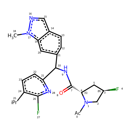 CC(=O)N1C[C@H](F)C[C@H]1C(=O)NC(c1ccc2cnn(C)c2c1)c1ccc(C(C)C)c(F)n1